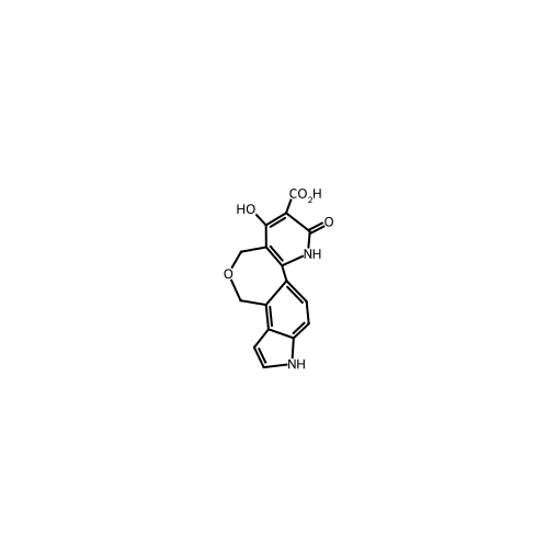 O=C(O)c1c(O)c2c([nH]c1=O)-c1ccc3[nH]ccc3c1COC2